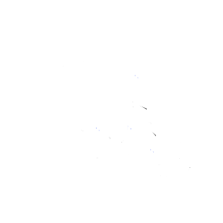 CCC[C@H](NC(=O)[C@@H]1C[C@]2(CC(c3cccc(Cl)c3)=NO2)CN1C(=O)[C@@H](NC(=O)CC1CCCCC1)C(C)(C)C)C(=O)C(C)=O